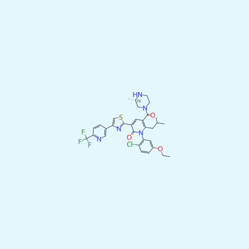 CCOc1ccc(Cl)c(-n2c(CC(C)C)c(C(=O)N3CCN[C@@H](C)C3)cc(-c3nc(-c4ccc(C(F)(F)F)nc4)cs3)c2=O)c1